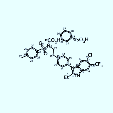 CCc1nc2cc(C(F)(F)F)c(Cl)cc2n1-c1ccc(CCN(C(=O)O)S(=O)(=O)c2ccc(C)cc2)cc1.O=S(=O)(O)c1ccccc1